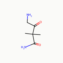 CC(C)(C(N)=O)C(=O)CN